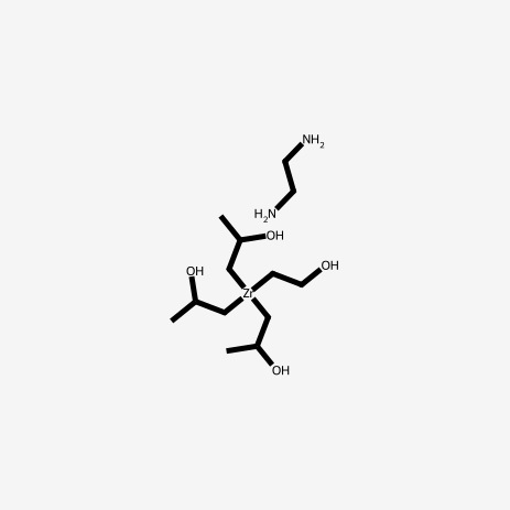 CC(O)[CH2][Zr]([CH2]CO)([CH2]C(C)O)[CH2]C(C)O.NCCN